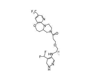 C[C@@H](COCCC(=O)N1CCN2c3ncc(C(F)(F)F)cc3OCCC2C1)NC1=C(C(F)F)CNN=C1